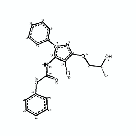 C[C@@H](O)COc1nn(-c2ccccc2)c(NC(=O)Oc2ccccc2)c1Cl